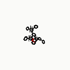 c1ccc(-c2ccc3c(c2)c2ccccc2n3-c2ccc(-c3cc(-c4ccccc4)nc(-c4ccccc4)n3)cc2-c2cc(-c3ccccc3)nc(-c3ccccc3)n2)cc1